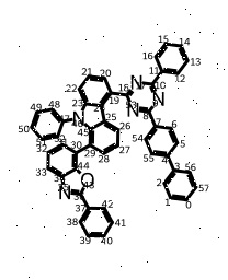 c1ccc(-c2ccc(-c3nc(-c4ccccc4)nc(-c4cccc5c4c4cccc(-c6cccc7nc(-c8ccccc8)oc67)c4n5-c4ccccc4)n3)cc2)cc1